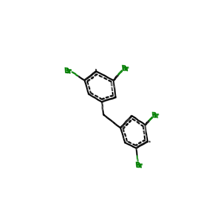 Brc1[c]c(Br)cc(Cc2cc(Br)[c]c(Br)c2)c1